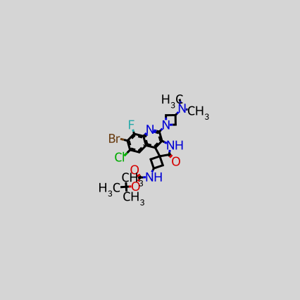 CN(C)C1CN(c2nc3c(F)c(Br)c(Cl)cc3c3c2NC(=O)C32CC(NC(=O)OC(C)(C)C)C2)C1